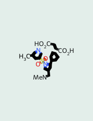 CNCc1cc(-c2ccccc2)n(S(=O)(=O)c2cncc(C)c2)c1.O=C(O)C=CC(=O)O